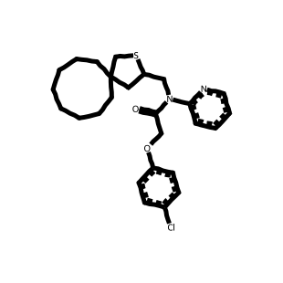 O=C(COc1ccc(Cl)cc1)N(CC1CC2(CCCCCCCC2)CS1)c1ccccn1